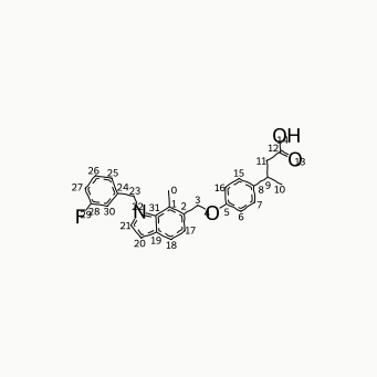 Cc1c(COc2ccc(C(C)CC(=O)O)cc2)ccc2ccn(Cc3cccc(F)c3)c12